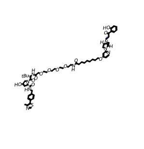 Cc1ncsc1-c1ccc(CNC(=O)[C@@H]2C[C@@H](O)CN2C(=O)[C@@H](NC(=O)COCCOCCOCCOCCNC(=O)CCCCCCCCOc2ccnc(N3C[C@H]4C[C@@H]3CN4/C=C/C(=O)c3ccccc3O)c2)C(C)(C)C)cc1